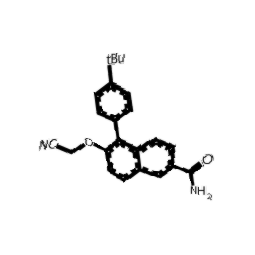 CC(C)(C)c1ccc(-c2c(OCC#N)ccc3cc(C(N)=O)ccc23)cc1